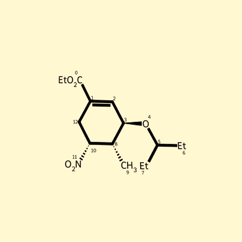 CCOC(=O)C1=C[C@@H](OC(CC)CC)[C@H](C)[C@H]([N+](=O)[O-])C1